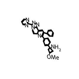 CO[C@H]1C[C@@](N)(c2ccc(-c3nc4ccn5c(-c6ncccn6)nnc5c4cc3-c3ccccc3)cc2)C1